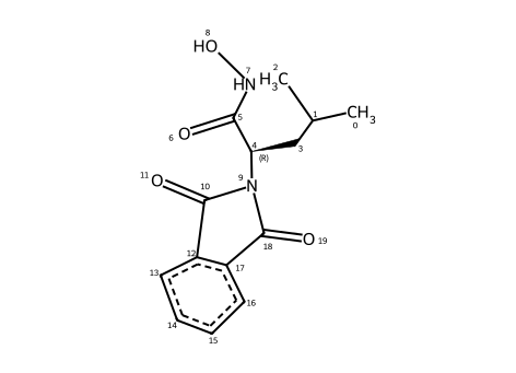 CC(C)C[C@H](C(=O)NO)N1C(=O)c2ccccc2C1=O